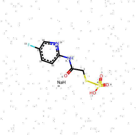 O=C(CSS(=O)(=O)O)Nc1ccc(F)cn1.[NaH]